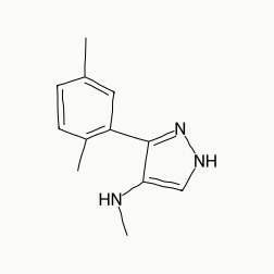 CNc1c[nH]nc1-c1cc(C)ccc1C